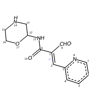 O=[C]/C(=C\c1ccccn1)C(=O)NC1CNCCO1